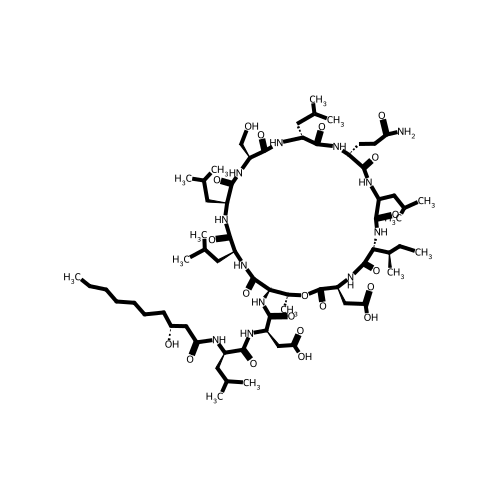 CCCCCCC[C@@H](O)CC(=O)N[C@H](CC(C)C)C(=O)N[C@H](CC(=O)O)C(=O)N[C@H]1C(=O)N[C@@H](CC(C)C)C(=O)N[C@@H](CC(C)C)C(=O)N[C@@H](CO)C(=O)N[C@H](CC(C)C)C(=O)N[C@H](CCC(N)=O)C(=O)NC(CC(C)C)C(=O)N[C@H]([C@H](C)CC)C(=O)N[C@@H](CC(=O)O)C(=O)O[C@@H]1C